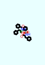 O=C(NC(COC(=O)C(Cc1ccccc1)NS(=O)(=O)c1ccccc1Br)Cc1ccccc1)c1ccccc1